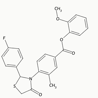 COc1ccccc1OC(=O)c1ccc(N2C(=O)CSC2c2ccc(F)cc2)c(C)c1